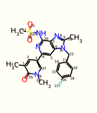 Cc1cc(-c2cc3c(nc(C)n3Cc3ccc(F)cc3)c(NS(C)(=O)=O)n2)cn(C)c1=O